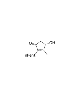 CCCCCC1=C(C)[C@@H](O)CC1=O